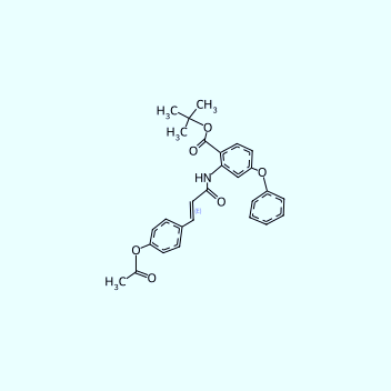 CC(=O)Oc1ccc(/C=C/C(=O)Nc2cc(Oc3ccccc3)ccc2C(=O)OC(C)(C)C)cc1